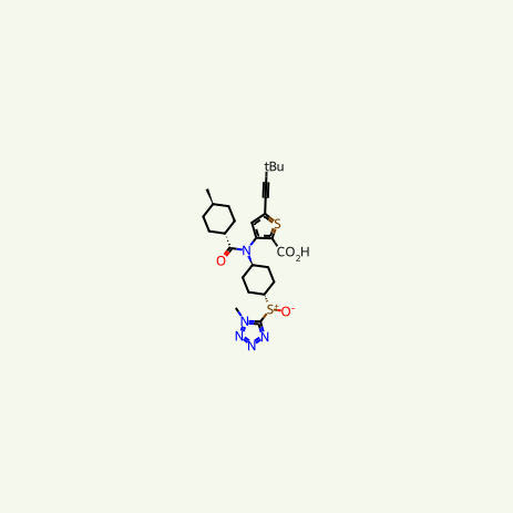 Cn1nnnc1[S+]([O-])[C@H]1CC[C@H](N(c2cc(C#CC(C)(C)C)sc2C(=O)O)C(=O)[C@H]2CC[C@H](C)CC2)CC1